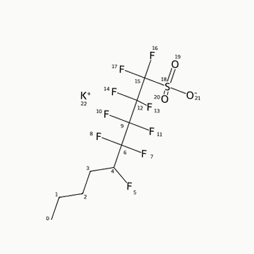 CCCCC(F)C(F)(F)C(F)(F)C(F)(F)C(F)(F)S(=O)(=O)[O-].[K+]